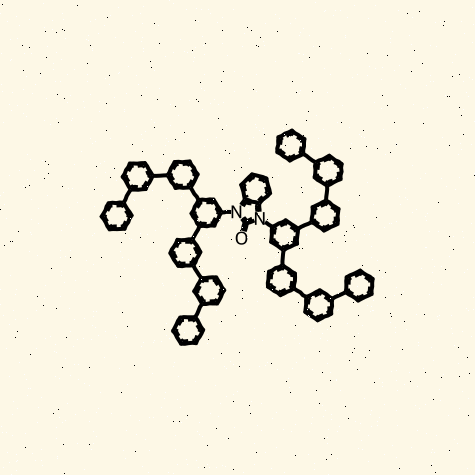 O=c1n(-c2cc(-c3cccc(-c4cccc(-c5ccccc5)c4)c3)cc(-c3cccc(-c4cccc(-c5ccccc5)c4)c3)c2)c2ccccc2n1-c1cc(-c2cccc(-c3cccc(-c4ccccc4)c3)c2)cc(-c2cccc(-c3cccc(-c4ccccc4)c3)c2)c1